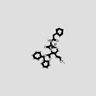 O=C(Cc1ccccc1)NC1C(=O)N2C(C(=O)OC(c3ccccc3)c3ccccc3)=C(/C=C/C(F)(F)F)CS[C@H]12